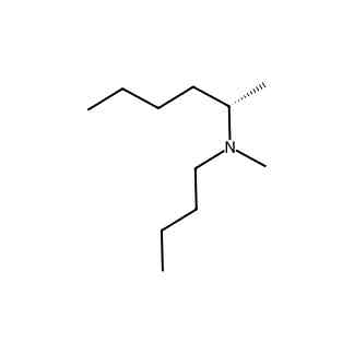 CCCC[C@H](C)N(C)CCCC